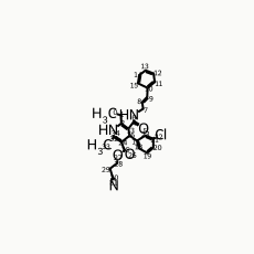 CCC1=C(C(=O)NC/C=C/c2ccccc2)C(c2cccc(Cl)c2)C(C(=O)OCCC#N)=C(C)N1